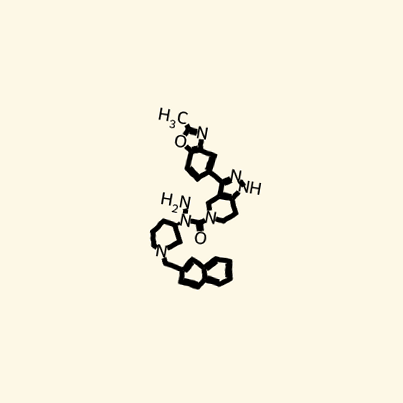 Cc1nc2cc(-c3n[nH]c4c3CN(C(=O)N(N)[C@@H]3CCCN(Cc5ccc6ccccc6c5)C3)CC4)ccc2o1